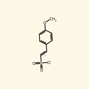 COc1ccc(/C=C/S(=O)(=O)Cl)cc1